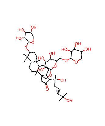 CC(C)(O)/C=C/CC(C)(O)C1C(=O)CC2(COC3OC(COC4OCC(O)C(O)C4O)C(O)C(O)C3O)C1CCC1C3(C)CCC(OC4OCC(O)C(O)C4O)C(C)(C)C3CCC12C